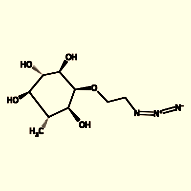 C[C@@H]1[C@@H](O)[C@H](O)[C@@H](O)[C@@H](OCCN=[N+]=[N-])[C@H]1O